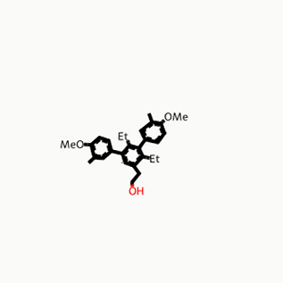 CCc1c(CCO)[c]c(-c2ccc(OC)c(C)c2)c(CC)c1-c1ccc(OC)c(C)c1